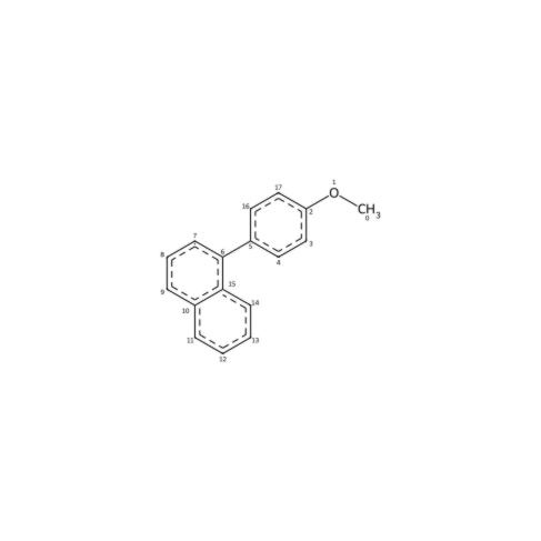 COc1ccc(-c2[c]ccc3ccccc23)cc1